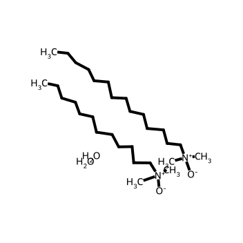 CCCCCCCCCCCCCC[N+](C)(C)[O-].CCCCCCCCCCCC[N+](C)(C)[O-].O.O